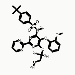 [2H]OCC([2H])([2H])Oc1nc(-c2ncccn2)nc(N([2H])S(=O)(=O)c2ccc(C(C)(C)C)cc2)c1Oc1ccccc1OC